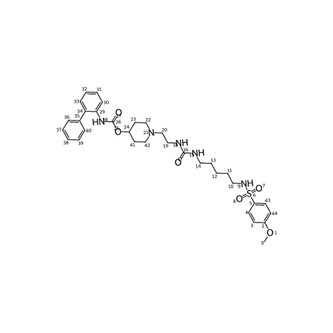 COc1ccc(S(=O)(=O)NCCCCCNC(=O)NCCN2CCC(OC(=O)Nc3ccccc3-c3ccccc3)CC2)cc1